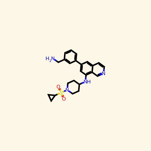 NCc1cccc(-c2cc(NC3CCN(S(=O)(=O)C4CC4)CC3)c3cnccc3c2)c1